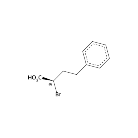 O=C(O)[C@H](Br)CCc1ccccc1